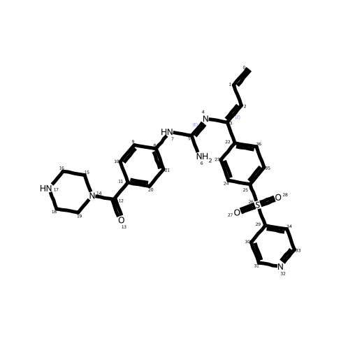 C=C/C=C(\N=C(/N)Nc1ccc(C(=O)N2CCNCC2)cc1)c1ccc(S(=O)(=O)c2ccncc2)cc1